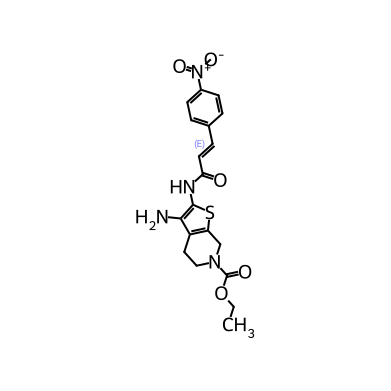 CCOC(=O)N1CCc2c(sc(NC(=O)/C=C/c3ccc([N+](=O)[O-])cc3)c2N)C1